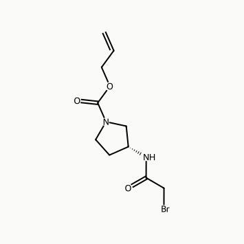 C=CCOC(=O)N1CC[C@@H](NC(=O)CBr)C1